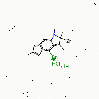 CC1=Cc2c(Br)c3c(cc2=C1)N(C)[C](C)([Zr])C=3C.Cl.Cl.Cl